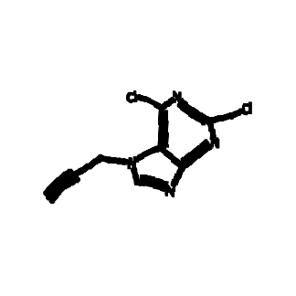 C#CCn1cnc2nc(Cl)nc(Cl)c21